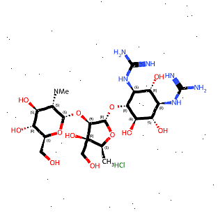 CN[C@@H]1[C@H](O[C@H]2[C@H](O[C@H]3[C@H](O)[C@@H](O)[C@H](NC(=N)N)[C@@H](O)[C@@H]3NC(=N)N)O[C@@H](C)[C@]2(O)CO)O[C@@H](CO)[C@H](O)[C@H]1O.Cl